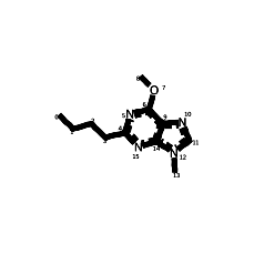 CCCCc1nc(OC)c2ncn(C)c2n1